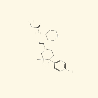 CC1(C)CN(C(=O)[C@H]2CCCC[C@H]2NC(=O)CO)CC[C@]1(O)c1ccc(Cl)cc1